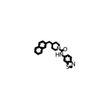 O=C(Nc1ccc2ncsc2c1)N1CCC(Cc2ccc3ccccc3c2)CC1